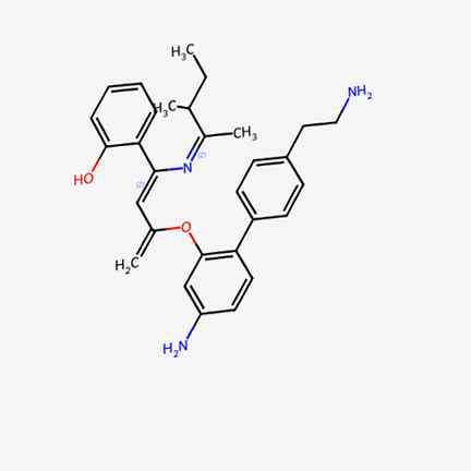 C=C(/C=C(\N=C(\C)C(C)CC)c1ccccc1O)Oc1cc(N)ccc1-c1ccc(CCN)cc1